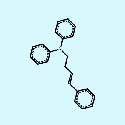 C(=Cc1ccccc1)CCN(c1ccccc1)c1ccccc1